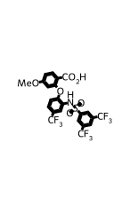 COc1ccc(C(=O)O)c(Oc2ccc(C(F)(F)F)cc2NS(=O)(=O)c2cc(C(F)(F)F)cc(C(F)(F)F)c2)c1